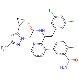 NC(=O)c1cc(-c2cccnc2[C@H](Cc2cc(F)cc(F)c2)NC(=O)Cn2nc(C(F)(F)F)cc2C2CC2)ccc1F